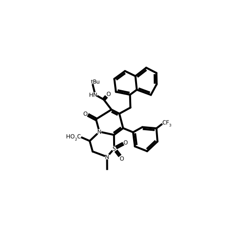 CN1CC(C(=O)O)n2c(c(-c3cccc(C(F)(F)F)c3)c(Cc3cccc4ccccc34)c(C(=O)NC(C)(C)C)c2=O)S1(=O)=O